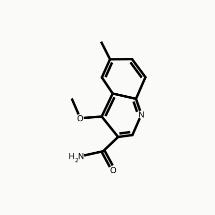 COc1c(C(N)=O)cnc2ccc(C)cc12